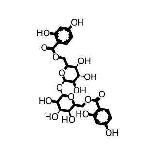 O=C(OCC1O[C@H](O[C@H]2OC(COC(=O)c3ccc(O)cc3O)[C@@H](O)[C@H](O)C2O)C(O)[C@@H](O)[C@@H]1O)c1ccc(O)cc1O